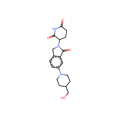 O=C1CCC(N2Cc3ccc(N4CCC(CO)CC4)cc3C2=O)C(=O)N1